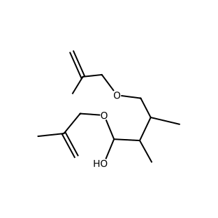 C=C(C)COCC(C)C(C)C(O)OCC(=C)C